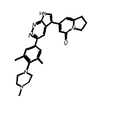 Cc1cc(-c2cc3c(-c4cc5n(c(=O)c4)CCC5)c[nH]c3nn2)cc(C)c1N1CCN(C)CC1